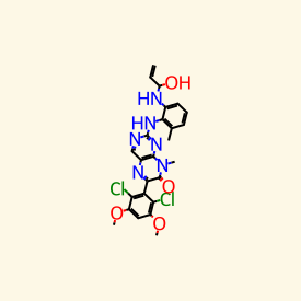 C=CC(O)Nc1cccc(C)c1Nc1ncc2nc(-c3c(Cl)c(OC)cc(OC)c3Cl)c(=O)n(C)c2n1